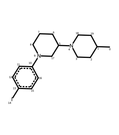 CC1CCN(C2CCCN(c3ccc(I)cc3)C2)CC1